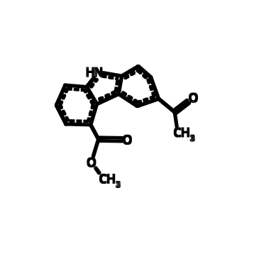 COC(=O)c1cccc2[nH]c3ccc(C(C)=O)cc3c12